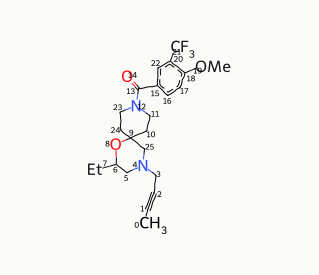 CC#CCN1CC(CC)OC2(CCN(C(=O)c3ccc(OC)c(C(F)(F)F)c3)CC2)C1